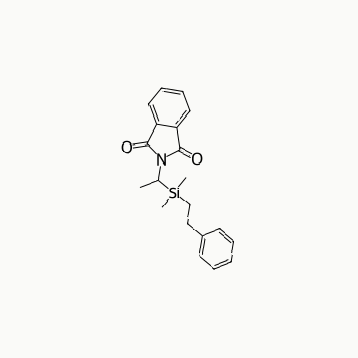 CC(N1C(=O)c2ccccc2C1=O)[Si](C)(C)CCc1ccccc1